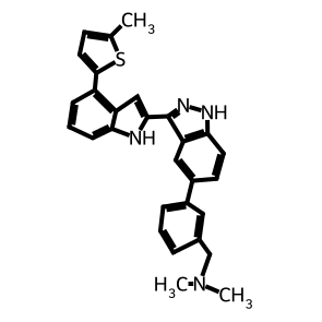 Cc1ccc(-c2cccc3[nH]c(-c4n[nH]c5ccc(-c6cccc(CN(C)C)c6)cc45)cc23)s1